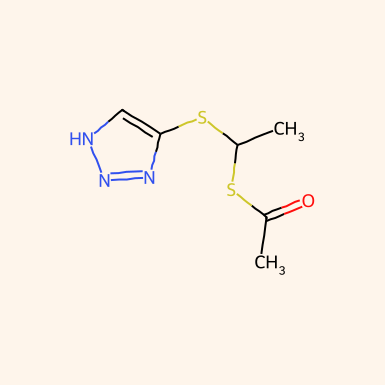 CC(=O)SC(C)Sc1c[nH]nn1